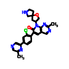 Cc1cncc(-c2ccc(-c3cc4cnc(C)nc4n(C4COC5(CCNC5)C4)c3=O)c(Cl)c2)n1